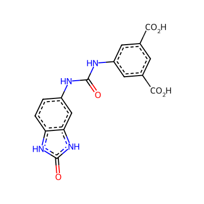 O=C(Nc1cc(C(=O)O)cc(C(=O)O)c1)Nc1ccc2[nH]c(=O)[nH]c2c1